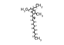 C=CC[Si](CCC)(CCC)CCC=NCCCCCCCCCC